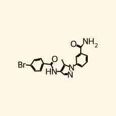 Cc1c(NC(=O)c2ccc(Br)cc2)cnn1-c1cccc(C(N)=O)c1